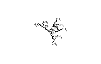 C=CCN(CC=C)CC(O)COCC(COCC(O)CN(CC=C)CC=C)(COCC(O)CN(CC=C)CC=C)COCC(O)CN(CC=C)CC=C